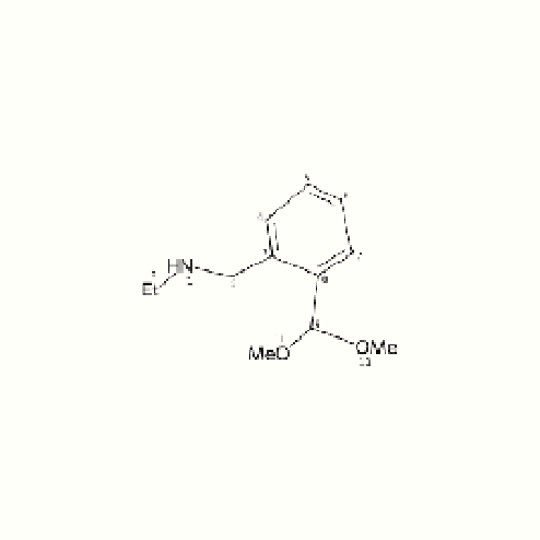 CCNCc1ccccc1C(OC)OC